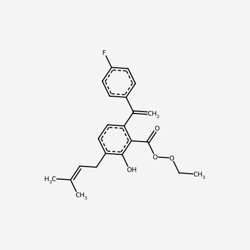 C=C(c1ccc(F)cc1)c1ccc(CC=C(C)C)c(O)c1C(=O)OOCC